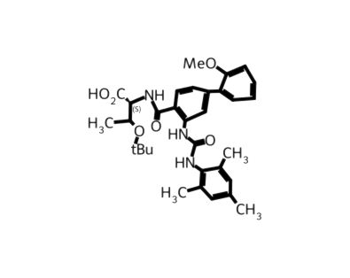 COc1ccccc1-c1ccc(C(=O)N[C@H](C(=O)O)C(C)OC(C)(C)C)c(NC(=O)Nc2c(C)cc(C)cc2C)c1